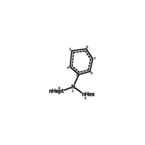 CCCCCCCN(CCCCCC)c1ccccc1